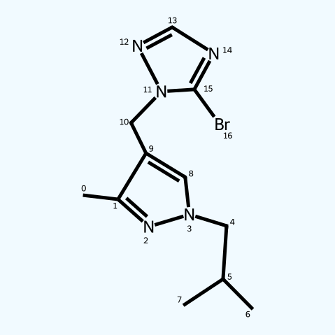 Cc1nn(CC(C)C)cc1Cn1ncnc1Br